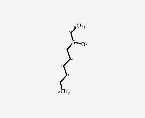 [CH2]CCCCC[S+]([O-])CC